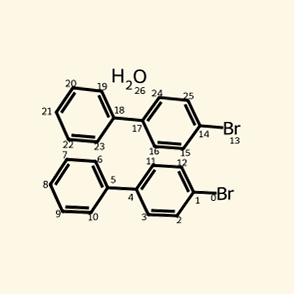 Brc1ccc(-c2ccccc2)cc1.Brc1ccc(-c2ccccc2)cc1.O